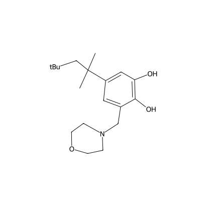 CC(C)(C)CC(C)(C)c1cc(O)c(O)c(CN2CCOCC2)c1